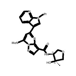 CNc1cc(-c2cn(C(C)C)c3ncccc23)nc2c(C(=O)N[C@H]3COC[C@@]3(C)O)cnn12